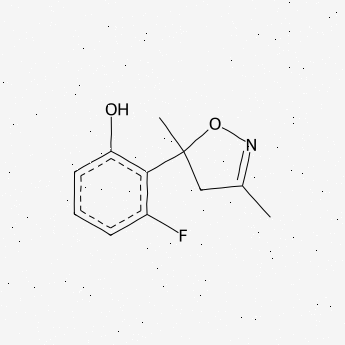 CC1=NOC(C)(c2c(O)cccc2F)C1